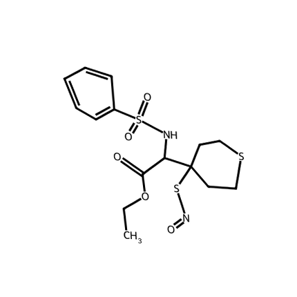 CCOC(=O)C(NS(=O)(=O)c1ccccc1)C1(SN=O)CCSCC1